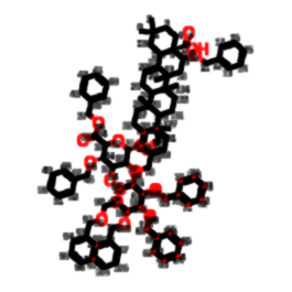 CC1(C)CC[C@]2(C(=O)O)C(OCc3ccccc3)CC3(C)C(=CCC4C5(C)CC[C@H](O[C@@H]6OC(C(=O)OCc7ccccc7)[C@@H](OCc7ccccc7)C(O[C@@H]7OC[C@@H](OCc8ccccc8)C(OCc8ccccc8)C7OCc7ccccc7)C6O[C@@H]6OC(COCc7ccccc7)[C@H](OCc7ccccc7)C(OCc7ccccc7)C6OCc6ccccc6)C(C)(C=O)C5CCC43C)C2C1